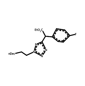 CCCCCCCCCCCCn1nnc(C(C(=O)OCC)c2ccc(F)cc2)n1